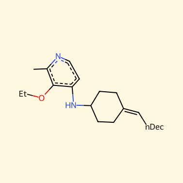 CCCCCCCCCCC=C1CCC(Nc2ccnc(C)c2OCC)CC1